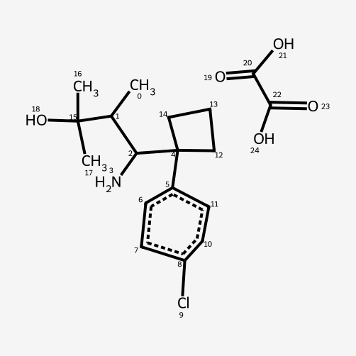 CC(C(N)C1(c2ccc(Cl)cc2)CCC1)C(C)(C)O.O=C(O)C(=O)O